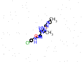 Cc1cn2c(-c3cnn(CC(=O)NCc4ccc(Cl)cc4)c3)cnc2c(Nc2cc(CN3CCCC(C)C3)ns2)n1